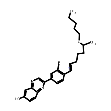 CCCCCOC(C)CCC/C=C/c1ccc(-c2cnc3cc(O)ccc3n2)cc1F